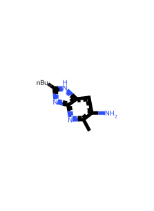 CCCCc1nc2nc(C)c(N)cc2[nH]1